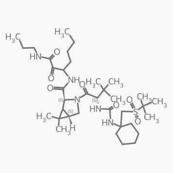 CCCCC(NC(=O)[C@@H]1C2[C@H](CN1C(=O)[C@@H](NC(=O)NC1(CS(=O)(=O)C(C)(C)C)CCCCC1)C(C)(C)C)C2(C)C)C(=O)C(=O)NCCC